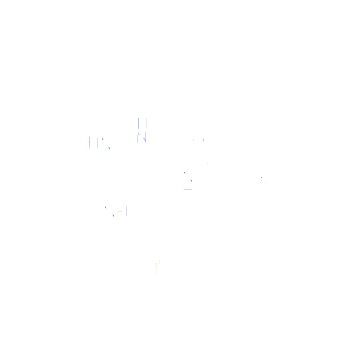 CC(=N)C1=C(Nc2ccccc2)NCC(NC(=O)c2cccc(C)c2)C1c1ccc(F)cc1